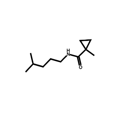 CC(C)CCCNC(=O)C1(C)CC1